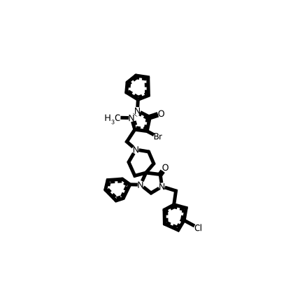 Cn1c(CN2CCC3(CC2)C(=O)N(Cc2cccc(Cl)c2)CN3c2ccccc2)c(Br)c(=O)n1-c1ccccc1